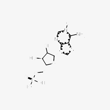 Nc1c2ncn([C@@H]3O[C@H](COP(=O)(O)O)[C@@H](O)C3O)c2nc[n+]1[O-]